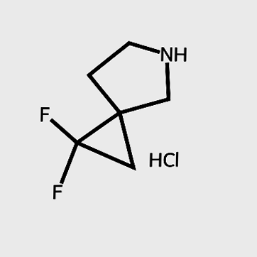 Cl.FC1(F)CC12CCNC2